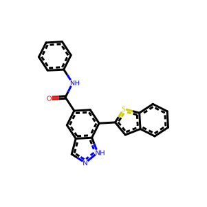 O=C(Nc1ccccc1)c1cc(-c2cc3ccccc3s2)c2[nH]ncc2c1